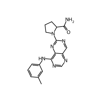 Cc1cccc(Nc2ncnc3cnc(N4CCCC4C(N)=O)nc23)c1